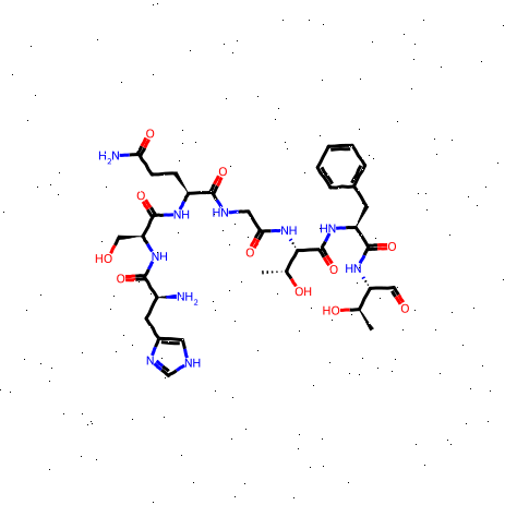 C[C@@H](O)[C@H](NC(=O)CNC(=O)[C@H](CCC(N)=O)NC(=O)[C@H](CO)NC(=O)[C@@H](N)Cc1c[nH]cn1)C(=O)N[C@@H](Cc1ccccc1)C(=O)N[C@H]([C]=O)[C@@H](C)O